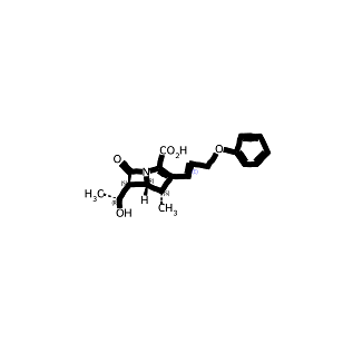 C[C@@H](O)[C@H]1C(=O)N2C(C(=O)O)=C(/C=C/COc3ccccc3)[C@H](C)[C@H]12